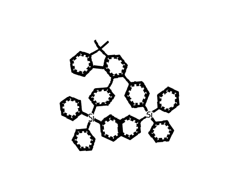 CC1(C)c2ccccc2-c2c1ccc(-c1ccc([Si](c3ccccc3)(c3ccccc3)c3ccccc3)cc1)c2-c1ccc([Si](c2ccccc2)(c2ccccc2)c2ccccc2)cc1